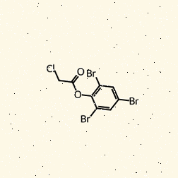 O=C(CCl)Oc1c(Br)cc(Br)cc1Br